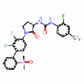 CP(C)(=O)c1ccccc1-c1ccc(N2CCC(NC(=O)Nc3ccc(C(F)(F)F)cc3F)C2=O)c(F)c1F